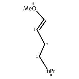 CCCCCC=COC